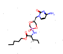 CCCCCOC(=O)[C@@H](NP1(=O)CO[C@@H](Cn2ccc(N)nc2=O)CO1)[C@@H](C)CC